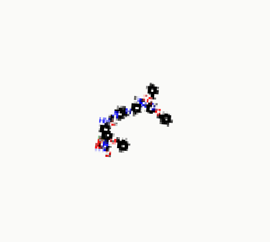 Cn1c(=O)n(-c2ccc(OCc3ccccc3)nc2OCc2ccccc2)c2ccc(N3CC4(CCN(CC(=O)Nc5ccc6c(F)c(N7CC(=O)NS7(=O)=O)c(OCc7ccccc7)cc6c5)CC4)C3)cc21